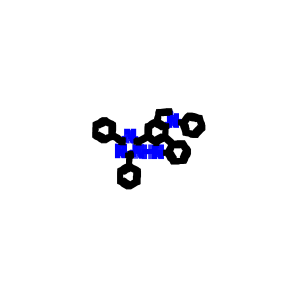 c1ccc(-c2nc(-c3ccccc3)nc(-c3cc4ccn(-c5ccccc5)c4c4c3[nH]c3ccccc34)n2)cc1